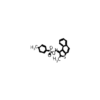 CC1C=CC(S(=O)(=O)O/N=C2/c3c(ccc4ccccc34)SC2C)=CC1